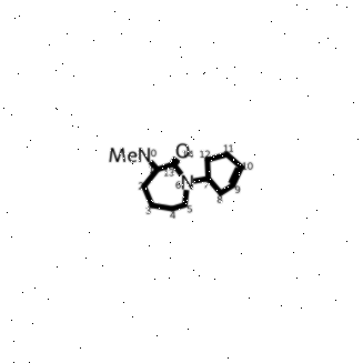 CNC1CCCCN(C2CC=CCC2)C1=O